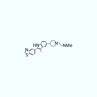 CNCCN1CCC(c2ccc3[nH]c(-c4ccc5scnc5c4)c(C)c3c2)CC1